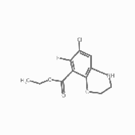 CCOC(=O)c1c(F)c(Cl)cc2c1OCCN2